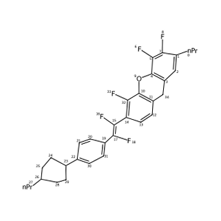 CCCc1cc2c(c(F)c1F)Oc1c(ccc(/C(F)=C(\F)c3ccc(C4CCC(CCC)CC4)cc3)c1F)C2